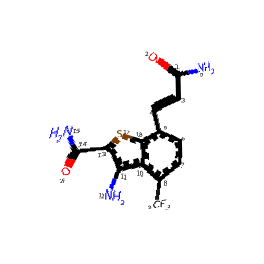 NC(=O)/C=C/c1ccc(C(F)(F)F)c2c(N)c(C(N)=O)sc12